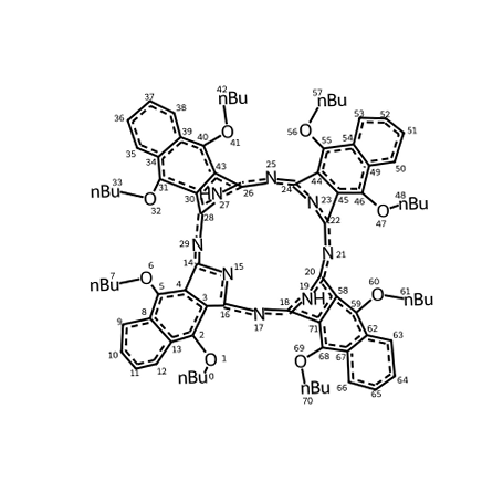 CCCCOc1c2c(c(OCCCC)c3ccccc13)-c1nc-2nc2[nH]c(nc3nc(nc4[nH]c(n1)c1c(OCCCC)c5ccccc5c(OCCCC)c41)-c1c-3c(OCCCC)c3ccccc3c1OCCCC)c1c(OCCCC)c3ccccc3c(OCCCC)c21